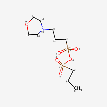 CCCS(=O)(=O)OS(=O)(=O)CCCN1CCOCC1